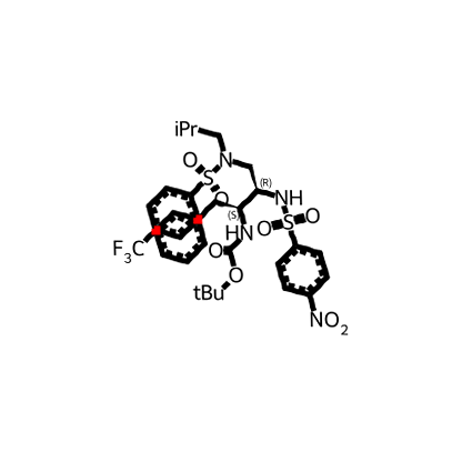 CC(C)CN(C[C@@H](NS(=O)(=O)c1ccc([N+](=O)[O-])cc1)[C@H](Cc1ccccc1)NC(=O)OC(C)(C)C)S(=O)(=O)c1ccc(C(F)(F)F)cc1